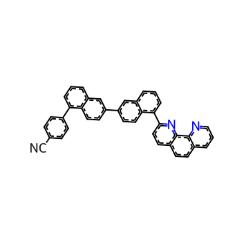 N#Cc1ccc(-c2cccc3cc(-c4ccc5c(-c6ccc7ccc8cccnc8c7n6)cccc5c4)ccc23)cc1